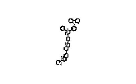 c1ccc(-c2nc(-c3ccc(-c4ccc5cc(-c6ccc7ccc(-c8ccccn8)nc7c6)ccc5n4)cc3)cc(-c3cccc(-n4c5ccccc5c5ccccc54)c3)n2)cc1